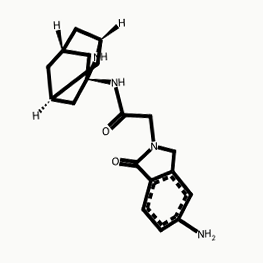 Nc1ccc2c(c1)CN(CC(=O)N[C@@]13C[C@@H]4C[C@@H](C[C@H](C4)N1)C3)C2=O